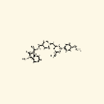 COc1ccc(OCC(CN2CCC(CNC(=O)n3c(=O)n(C)c4ccccc43)CC2)OC(N)=O)cc1